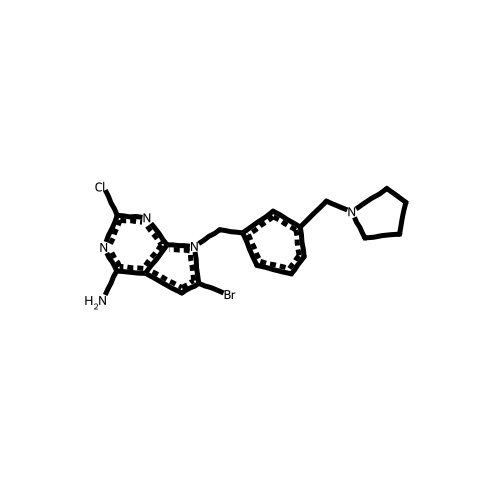 Nc1nc(Cl)nc2c1cc(Br)n2Cc1cccc(CN2CCCC2)c1